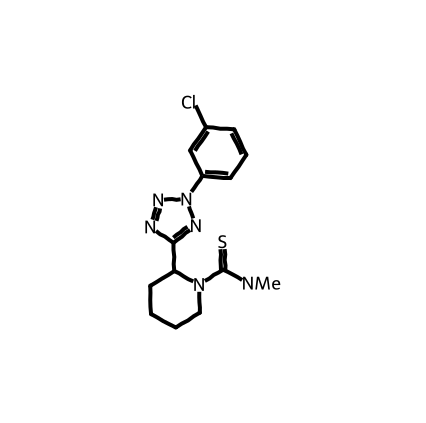 CNC(=S)N1CCCCC1c1nnn(-c2cccc(Cl)c2)n1